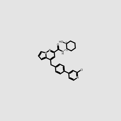 O=C(N[C@H]1CCCC[C@@H]1O)c1cc(Cc2ccc(-c3ccnc(Cl)c3)cc2)c2cccn2n1